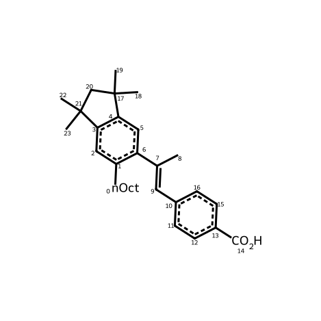 CCCCCCCCc1cc2c(cc1C(C)=Cc1ccc(C(=O)O)cc1)C(C)(C)CC2(C)C